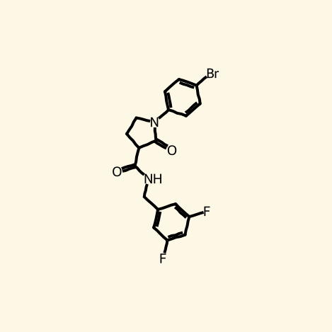 O=C(NCc1cc(F)cc(F)c1)C1CCN(c2ccc(Br)cc2)C1=O